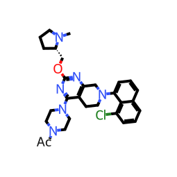 CC(=O)N1CCN(c2nc(OC[C@@H]3CCCN3C)nc3c2CCN(c2cccc4cccc(Cl)c24)C3)CC1